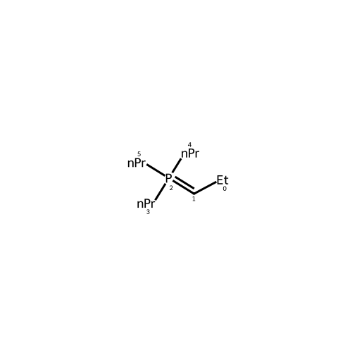 CCC=P(CCC)(CCC)CCC